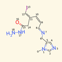 Cn1cncc1C/N=C/C=C\C(=C/I)CC(=O)NN